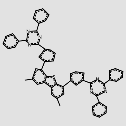 Cc1cc(-c2cccc(-c3nc(-c4ccccc4)nc(-c4ccccc4)n3)c2)c2sc3c(-c4cccc(-c5nc(-c6ccccc6)nc(-c6ccccc6)n5)c4)cc(C)cc3c2c1